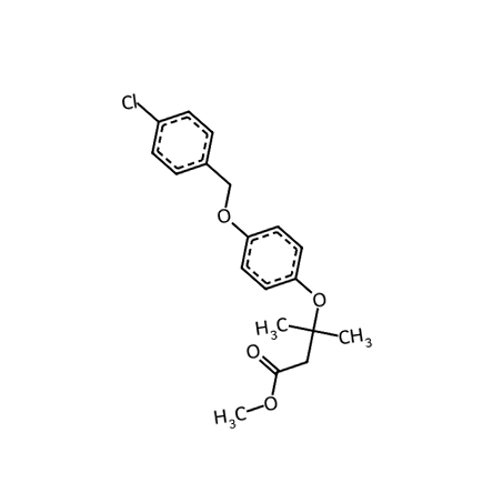 COC(=O)CC(C)(C)Oc1ccc(OCc2ccc(Cl)cc2)cc1